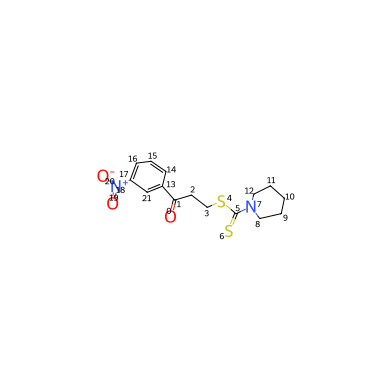 O=C(CCSC(=S)N1CCCCC1)c1cccc([N+](=O)[O-])c1